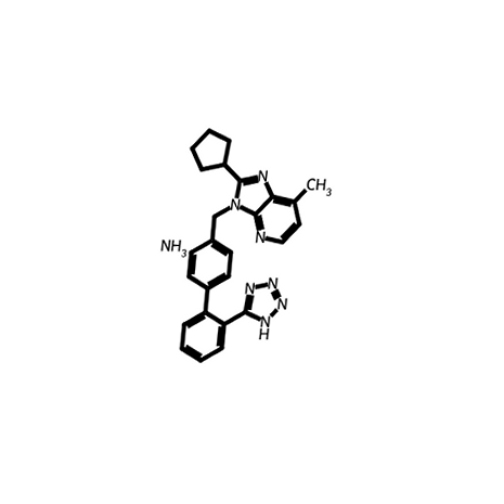 Cc1ccnc2c1nc(C1CCCC1)n2Cc1ccc(-c2ccccc2-c2nnn[nH]2)cc1.N